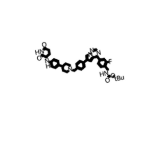 CC(C)(C)OC(=O)NCc1ccc(-c2ncnn3cc(-c4ccc(CN5CCC(c6ccc(NC7CCC(=O)NC7=O)cc6)CC5)cc4)cc23)cc1F